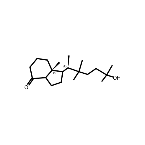 C[C@H](C1CCC2C(=O)CCC[C@@]21C)C(C)(C)CCC(C)(C)O